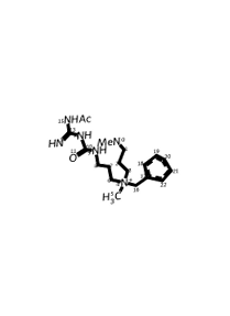 CNCCC[N+](C)(CCCNC(=O)NC(=N)NC(C)=O)Cc1ccccc1